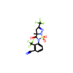 CC12CC(C(F)(F)F)=NN1S(=O)(=O)N(c1cccc(C#N)c1C(F)(F)F)C2=O